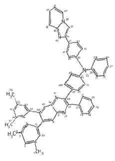 Cc1cc(C)cc(-c2cc3nc(-c4ccccc4)c(-c4ccc(N(c5ccccc5)c5ccc(-c6cn7ccccc7n6)cc5)cc4)nc3cc2-c2cc(C)cc(C)c2)c1